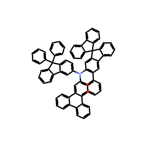 c1ccc(-c2cc3c(cc2N(c2ccc4c(c2)-c2ccccc2C4(c2ccccc2)c2ccccc2)c2ccc4c5ccccc5c5ccccc5c4c2)C2(c4ccccc4-c4ccccc42)c2ccccc2-3)cc1